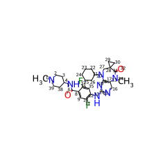 CN1CCC(NC(=O)c2cc(F)c(Nc3ncc4c(n3)N(C3CCCCC3)CC3(CC3)C(=O)N4C)cc2F)CC1